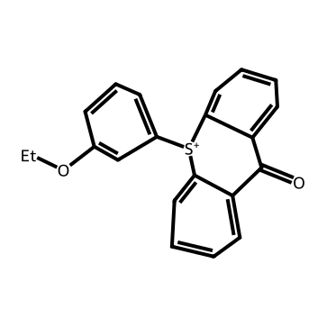 CCOc1cccc(-[s+]2c3ccccc3c(=O)c3ccccc32)c1